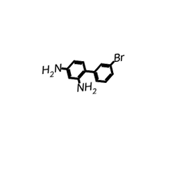 Nc1ccc(-c2cccc(Br)c2)c(N)c1